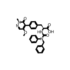 COc1cnn(C)c(=O)c1-c1ccc(C[C@H](NC(=O)N(Cc2ccccc2)c2ccccc2)C(=O)O)cc1